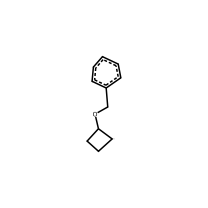 [CH]1CCC1OCc1ccccc1